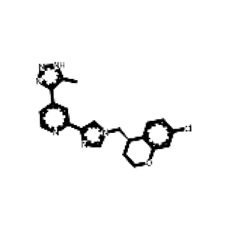 Cc1[nH]nnc1-c1ccnc(-c2cn(C[C@@H]3CCOc4cc(Cl)ccc43)cn2)c1